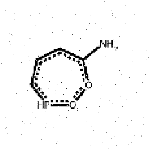 Nc1ccc[pH]oo1